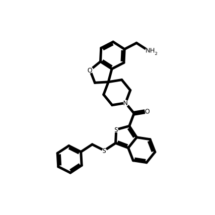 NCc1ccc2c(c1)C1(CCN(C(=O)c3sc(SCc4ccccc4)c4ccccc34)CC1)CO2